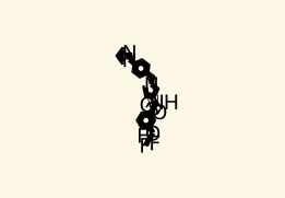 O=S(=O)(N[C@@H]1CCN(Cc2ccc(-n3cccn3)cc2)C1)c1cccc(OC(F)(F)F)c1